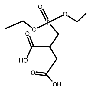 CCOP(=O)(CC(CC(=O)O)C(=O)O)OCC